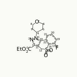 CCOC(=O)c1nn(C2CCOCC2)c2c1CS(=O)(=O)c1c(F)cccc1-2